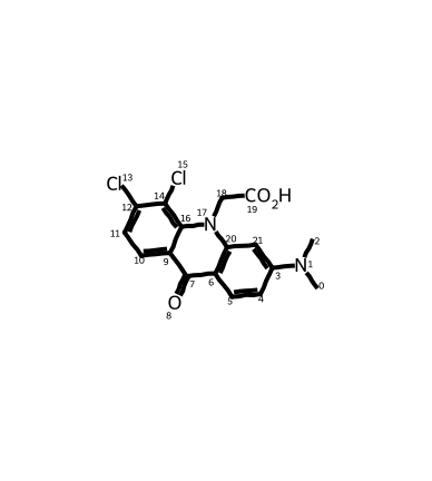 CN(C)c1ccc2c(=O)c3ccc(Cl)c(Cl)c3n(CC(=O)O)c2c1